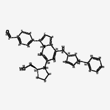 O=Cc1ccc(-c2ccc3c(Nc4cn(-c5ccccc5)cn4)nc(N4CCC[C@H]4CO)nn23)cc1